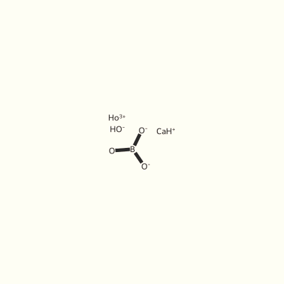 [CaH+].[Ho+3].[O-]B([O-])[O-].[OH-]